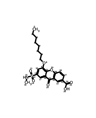 CCCCCCCCOc1cc(S(=O)(=O)NC)cc2c(=O)c3cc(C(=O)O)ccc3oc12